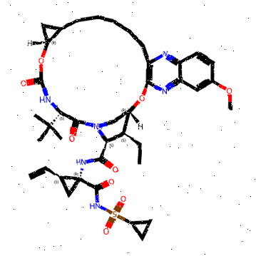 C=C[C@@H]1C[C@]1(NC(=O)[C@@H]1[C@H](CC)[C@@H]2CN1C(=O)[C@H](C(C)(C)C)NC(=O)O[C@@H]1CC1CCCCCc1nc3ccc(OC)cc3nc1O2)C(=O)NS(=O)(=O)C1CC1